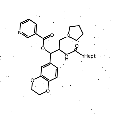 CCCCCCCC(=O)NC(CN1CCCC1)C(OC(=O)c1cccnc1)c1ccc2c(c1)OCCO2